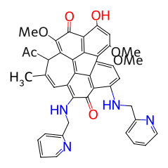 COc1c2c3c4c(c(NCc5ccccn5)c(=O)c5c(NCc6ccccn6)cc(OC)c(c6c(OC)cc(O)c(c1=O)c63)c54)C=C(C)C2C(C)=O